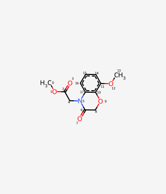 COC(=O)CN1C(=O)COc2c(OC)cccc21